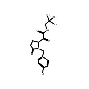 CC(C)(O)CNC(=O)C(=O)C1CCC(=O)N1Cc1ccc(Cl)cc1